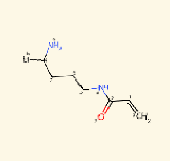 C=CC(=O)NCCCC(N)CC